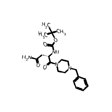 CC(C)(C)OC(=O)N[C@@H](CC(N)=O)C(=O)N1CCN(Cc2ccccc2)CC1